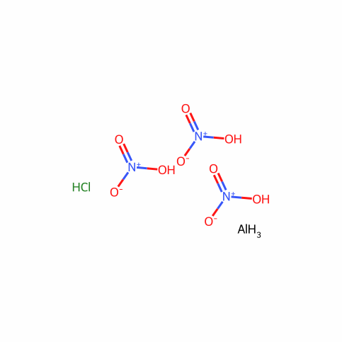 Cl.O=[N+]([O-])O.O=[N+]([O-])O.O=[N+]([O-])O.[AlH3]